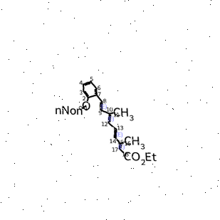 CCCCCCCCCOc1ccccc1/C=C/C(C)=C/C=C/C(C)=C/C(=O)OCC